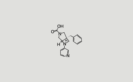 O=C(O)N1C[C@@H]2N(c3cccnc3)C[C@]2(Cc2ccccc2)C1